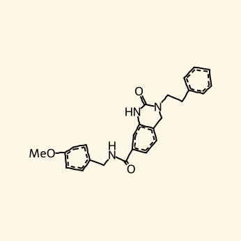 COc1ccc(CNC(=O)c2ccc3c(c2)NC(=O)N(CCc2ccccc2)C3)cc1